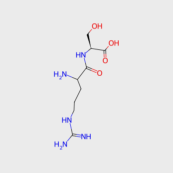 N=C(N)NCCCC(N)C(=O)N[C@@H](CO)C(=O)O